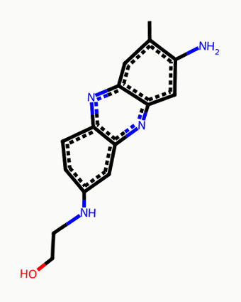 Cc1cc2nc3ccc(NCCO)cc3nc2cc1N